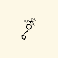 CC(C)(C)N1CCN(CCN2CCCC2)CC1